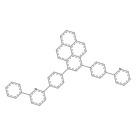 c1ccc(-c2cccc(-c3ccc(-c4cc(-c5ccc(-c6ccccn6)cc5)c5ccc6cccc7ccc4c5c67)cc3)n2)cc1